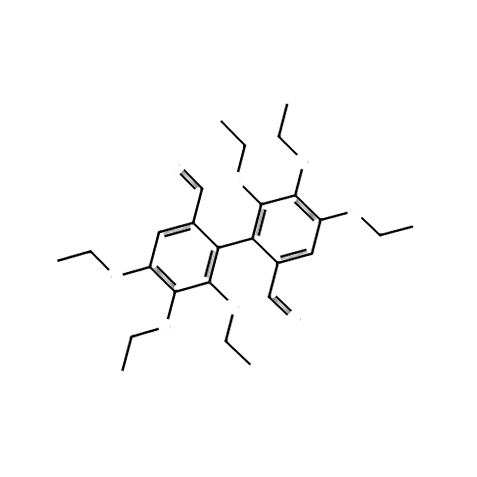 CCOc1cc(C=O)c(-c2c(C=O)cc(OCC)c(OCC)c2OCC)c(OCC)c1OCC